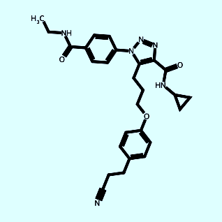 CCNC(=O)c1ccc(-n2nnc(C(=O)NC3CC3)c2CCCOc2ccc(CCC#N)cc2)cc1